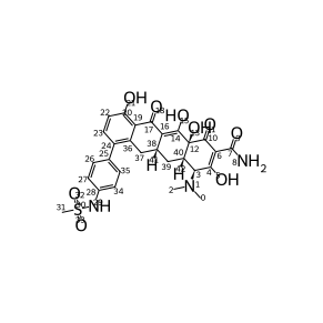 CN(C)[C@@H]1C(O)=C(C(N)=O)C(=O)[C@@]2(O)C(O)=C3C(=O)c4c(O)ccc(-c5ccc(NS(C)(=O)=O)cc5)c4C[C@H]3C[C@@H]12